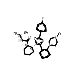 CC(C)[C@@H](C#N)NC(=O)[C@@H]1CCCC[C@H]1c1oc(-c2ccc(F)cc2)nc1-c1ccccc1N1CC[S+]([O-])CC1